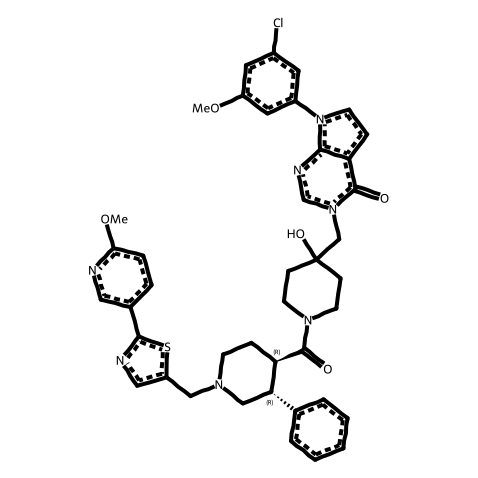 COc1cc(Cl)cc(-n2ccc3c(=O)n(CC4(O)CCN(C(=O)[C@@H]5CCN(Cc6cnc(-c7ccc(OC)nc7)s6)C[C@H]5c5ccccc5)CC4)cnc32)c1